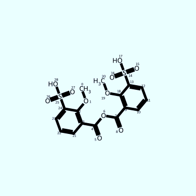 COc1c(C(=O)OC(=O)c2cccc(S(=O)(=O)O)c2OC)cccc1S(=O)(=O)O